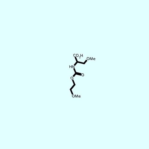 COCCOC(=O)NC(COC)C(=O)O